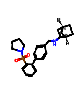 O=S(=O)(c1ccccc1-c1ccc(CNC2C[C@H]3CC[C@@H]2C3)cc1)N1CCCC1